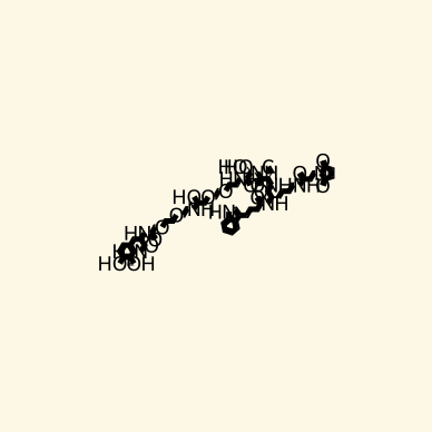 NC(=O)C(Cc1ccc(O)c(O)c1)NC(=O)COCCOCCNC(O)COCCOCCNC(=O)[C@H](CO)NC(=O)[C@H](CC(=O)O)NC(=O)[C@@H](CCCCNC(=O)CCN1C(=O)C=CC1=O)NC(=O)CCCc1c[nH]c2ccccc12